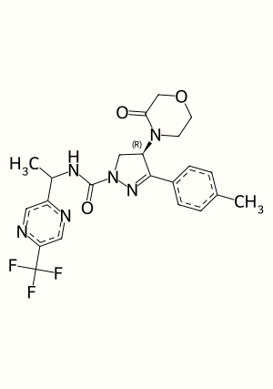 Cc1ccc(C2=NN(C(=O)NC(C)c3cnc(C(F)(F)F)cn3)C[C@H]2N2CCOCC2=O)cc1